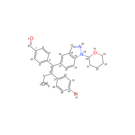 CCC(=C(c1ccc(C=O)cc1)c1ccc2c(cnn2C2CCCCO2)c1)c1ccc(Br)cc1